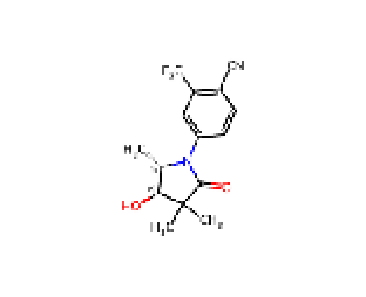 C[C@H]1[C@H](O)C(C)(C)C(=O)N1c1ccc(C#N)c(C(F)(F)F)c1